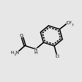 NC(=O)Nc1ccc(C(F)(F)F)cc1Cl